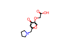 O=C(O)COc1coc(CN2CCCC2)cc1=O